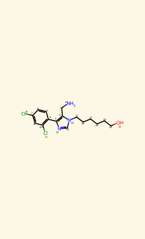 NCc1c(-c2ccc(Cl)cc2Cl)ncn1CCCCCCO